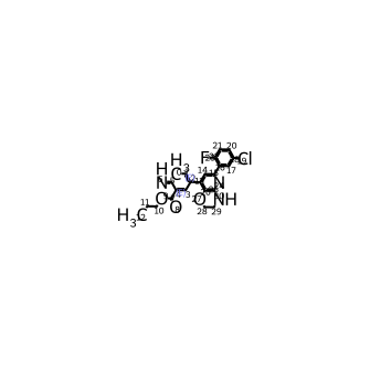 C/C=C(\C=C(/C=N)C(=O)OCCC)c1cc(-c2cc(Cl)ccc2F)nc2c1OCCN2